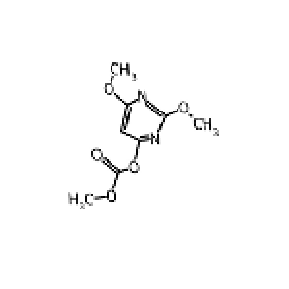 COC(=O)Oc1cc(OC)nc(OC)n1